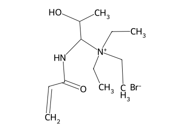 C=CC(=O)NC(C(C)O)[N+](CC)(CC)CC.[Br-]